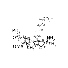 COc1cc(C(=O)OC(C)C)cc2nc(-c3cc4ccc([C@@H](C)N)cc4n3CCCCCCCC(=O)O)n(C)c12